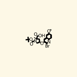 COc1ccc2nc(Br)c(O[C@H]3CN(C(=O)OC(C)(C)C)[C@](C)(C(=O)O)C3)cc2c1